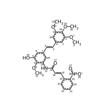 COc1cc(/C=C/c2cc(O)c(OC)c(NC(=O)/C=C/c3ccccc3[N+](=O)[O-])c2)cc(OC)c1OC